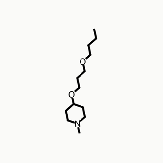 CCCCOCCCOC1CCN(C)CC1